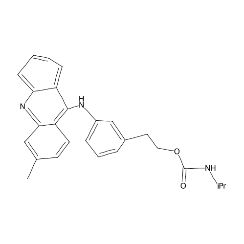 Cc1ccc2c(Nc3cccc(CCOC(=O)NC(C)C)c3)c3ccccc3nc2c1